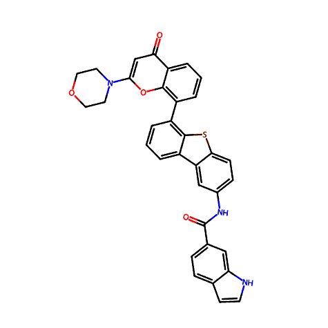 O=C(Nc1ccc2sc3c(-c4cccc5c(=O)cc(N6CCOCC6)oc45)cccc3c2c1)c1ccc2cc[nH]c2c1